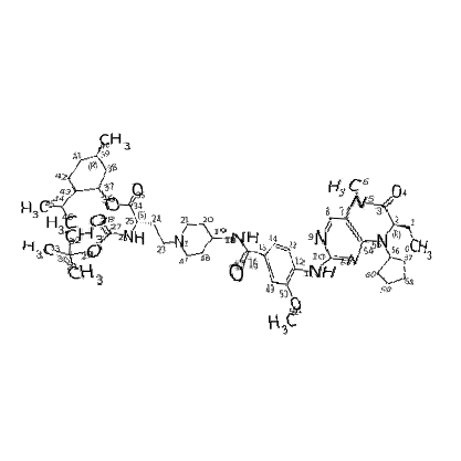 CC[C@@H]1C(=O)N(C)c2cnc(Nc3ccc(C(=O)NC4CCN(CC[C@H](NC(=O)OC(C)(C)C)C(=O)OC5C[C@H](C)CCC5C(C)C)CC4)cc3OC)nc2N1C1CCCC1